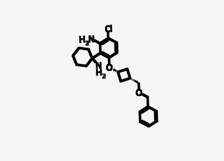 Nc1c(Cl)ccc(O[C@H]2C[C@@H](COCc3ccccc3)C2)c1C1(N)CCCCC1